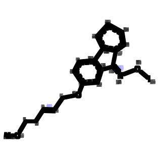 COCC/C=C/COc1ccc2c(c1)/C(=N/OI)c1ccccc1-2